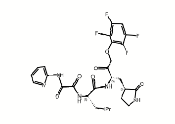 CC(C)C[C@H](NC(=O)C(=O)Nc1ccccn1)C(=O)N[C@@H](C[C@@H]1CCNC1=O)C(=O)COc1c(F)c(F)cc(F)c1F